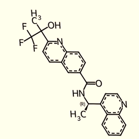 C[C@@H](NC(=O)c1ccc2nc(C(C)(O)C(F)(F)F)ccc2c1)c1ccnc2ccccc12